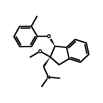 CO[C@]1(CN(C)C)Cc2ccccc2[C@H]1Oc1ccccc1C